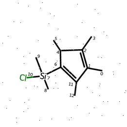 CC1=C(C)C(C)C([Si](C)(C)Cl)=C1C